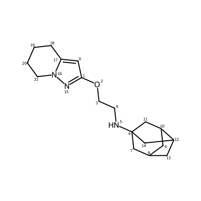 c1c(OCCNC23CC4CC(C2)C(C4)C3)nn2c1CCCC2